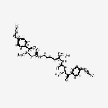 CN(CC(=O)NCCCCC(NC(=O)CN(C)C(=O)c1ccc(N=[N+]=[N-])cc1)C(=O)O)C(=O)c1ccc(N=[N+]=[N-])cc1